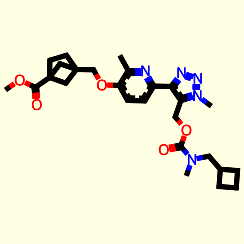 COC(=O)C12CCC(COc3ccc(-c4nnn(C)c4COC(=O)N(C)CC4CCC4)nc3C)(C1)C2